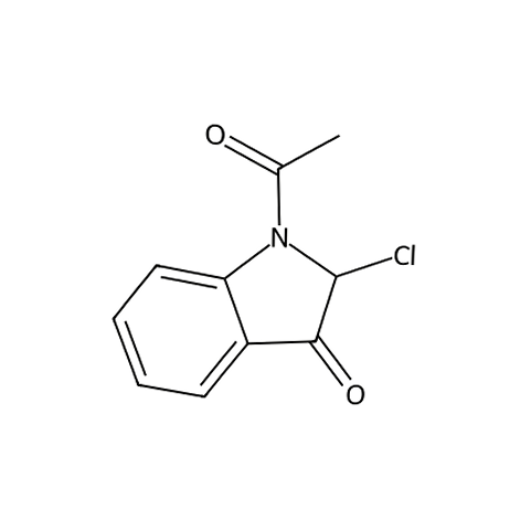 CC(=O)N1c2ccccc2C(=O)C1Cl